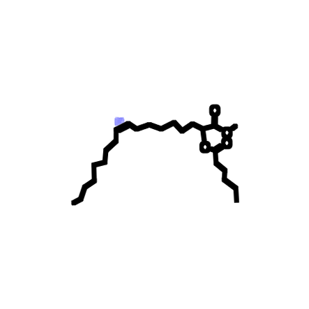 CCCCCCCC/C=C\CCCCCCC(OC(=O)CCCCC)C(=O)OC